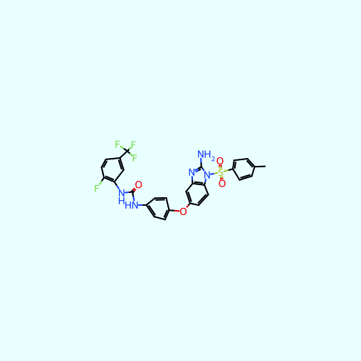 Cc1ccc(S(=O)(=O)n2c(N)nc3cc(Oc4ccc(NC(=O)Nc5cc(C(F)(F)F)ccc5F)cc4)ccc32)cc1